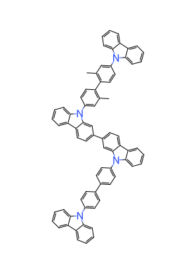 Cc1cc(-n2c3ccccc3c3ccccc32)ccc1-c1ccc(-n2c3ccccc3c3ccc(-c4ccc5c6ccccc6n(-c6ccc(-c7ccc(-n8c9ccccc9c9ccccc98)cc7)cc6)c5c4)cc32)cc1C